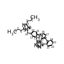 CCCc1nc(CCC)n(Cc2ccc(-n3ccc(-c4ccccc4)c3-c3nnn[nH]3)cc2)n1